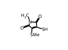 CSC1=C(S)C(=O)N(C)C1=O